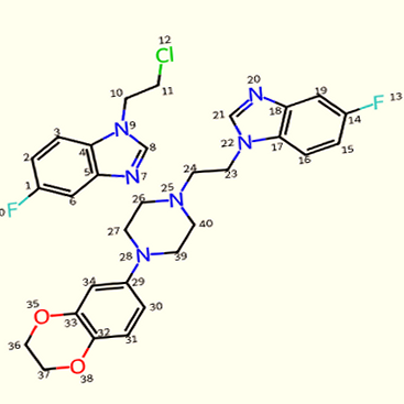 Fc1ccc2c(c1)ncn2CCCl.Fc1ccc2c(c1)ncn2CCN1CCN(c2ccc3c(c2)OCCO3)CC1